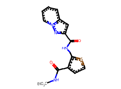 CCOC(=O)NC(=O)c1ccsc1NC(=O)c1cc2ccccn2n1